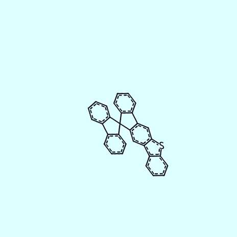 c1ccc2c(c1)-c1ccccc1C21c2ccccc2-c2cc3sc4ccccc4c3cc21